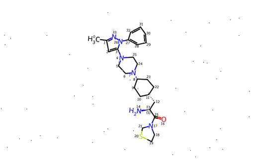 Cc1cc(N2CCN([C@H]3CC[C@@H](C[C@H](N)C(=O)N4CCSC4)CC3)CC2)n(-c2ccccc2)n1